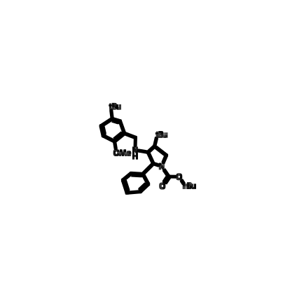 CCCCOC(=O)N1CC(C(C)(C)C)C(NCc2cc(C(C)(C)C)ccc2OC)C1c1ccccc1